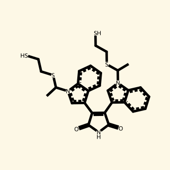 CC(SCCS)n1cc(C2=C(c3cn(C(C)SCCS)c4ccccc34)C(=O)NC2=O)c2ccccc21